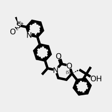 CC(c1ccc(-c2cccc([S@+](C)[O-])n2)cc1)N1CC[C@](CC(C)(C)O)(c2ccccc2)OC1=O